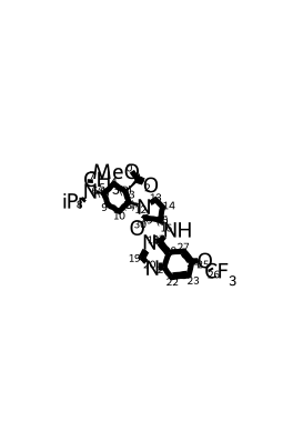 COC(=O)[C@@H]1C[C@H](N(C)C(C)C)CC[C@@H]1N1CC[C@H](Nc2ncnc3ccc(OC(F)(F)F)cc23)C1=O